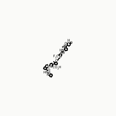 Cc1c(OCCCN2CCN(CC(=O)Nc3cccc4c(C5CCC(=O)NC5=O)nn(C)c34)C[C@@H]2C(F)(F)F)cccc1-c1ccc(N2CCc3cccc(C(=O)Nc4nc5ccccc5s4)c3C2)nc1C(=O)O